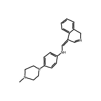 CN1CCN(c2ccc(NC=C3C=NCc4ccccc43)cc2)CC1